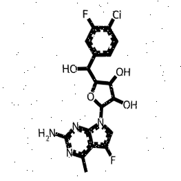 Cc1nc(N)nc2c1c(F)cn2C1OC(C(O)c2ccc(Cl)c(F)c2)C(O)C1O